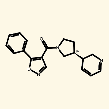 O=C(c1cnoc1-c1ccccc1)N1CC[C@@H](C2C=CC=NC2)C1